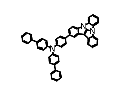 c1ccc(-c2ccc(N(c3ccc(-c4ccccc4)cc3)c3ccc(-c4ccc5c(c4)c4c6ccccc6n6c7ccccc7n5c46)cc3)cc2)cc1